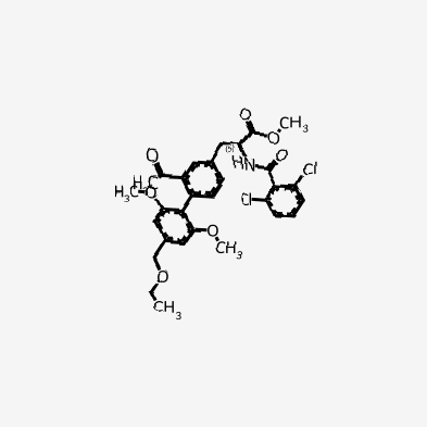 CCOCc1cc(OC)c(-c2ccc(C[C@H](NC(=O)c3c(Cl)cccc3Cl)C(=O)OC)cc2C(C)=O)c(OC)c1